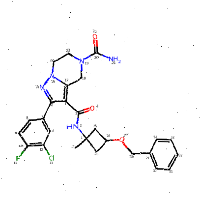 CC1(NC(=O)c2c(-c3ccc(F)c(Cl)c3)nn3c2CN(C(N)=O)CC3)CC(OCc2ccccc2)C1